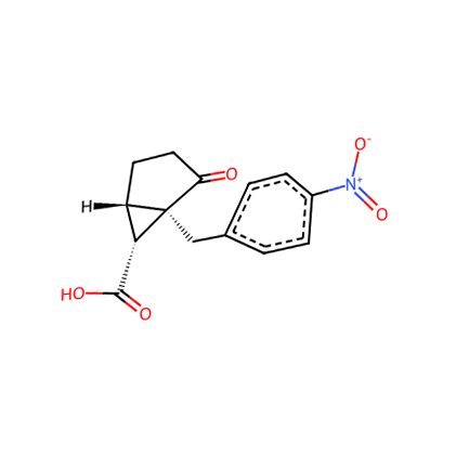 O=C(O)[C@@H]1[C@@H]2CCC(=O)[C@@]12Cc1ccc([N+](=O)[O-])cc1